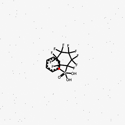 O=S(O)(O)(c1ccccc1)C1(F)C(F)(F)C(F)(F)C(F)(F)C(F)(F)C1(F)F